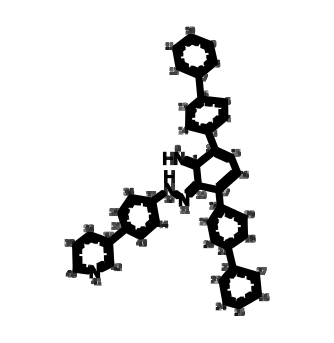 N=C1C(c2ccc(-c3ccccc3)cc2)=CC=C(c2ccc(-c3ccccc3)cc2)/C1=N/Nc1ccc(-c2cccnc2)cc1